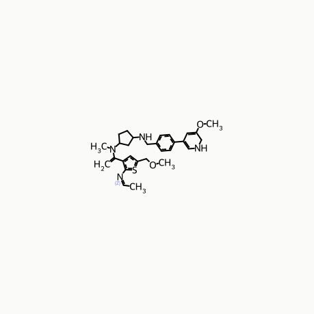 C=C(c1cc(COC)sc1/N=C\C)N(C)C1CCC(NCc2ccc(C3=CNCC(OC)=C3)cc2)C1